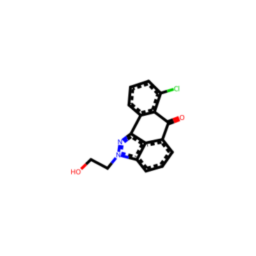 O=C1c2c(Cl)cccc2-c2nn(CCO)c3cccc1c23